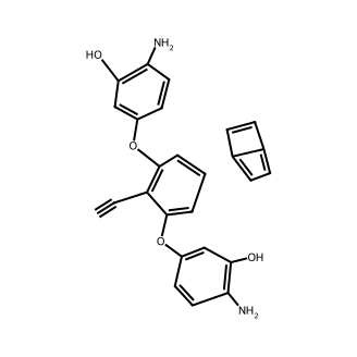 C#Cc1c(Oc2ccc(N)c(O)c2)cccc1Oc1ccc(N)c(O)c1.c1cc2ccc1-2